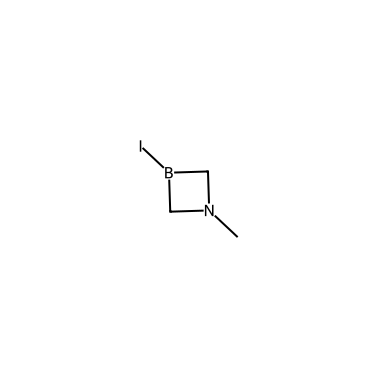 CN1CB(I)C1